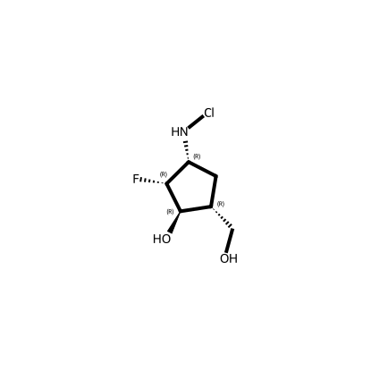 OC[C@H]1C[C@@H](NCl)[C@@H](F)[C@@H]1O